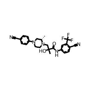 C[C@H]1CN(c2ccc(C#N)cc2)CCN1CC(C)(O)C(=O)Nc1ccc(C#N)c(C(F)(F)F)c1